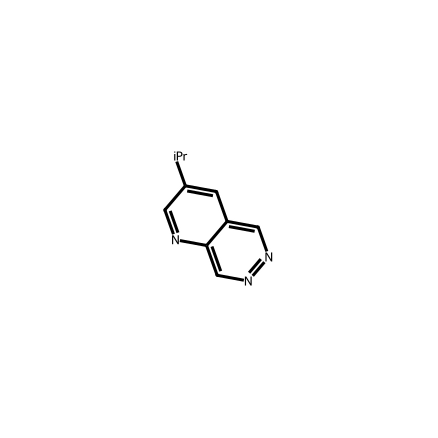 CC(C)c1cnc2cnncc2c1